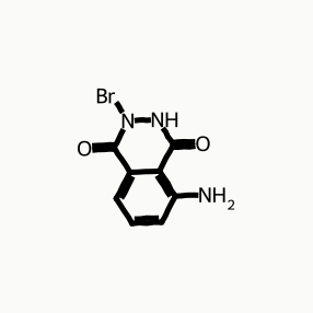 Nc1cccc2c(=O)n(Br)[nH]c(=O)c12